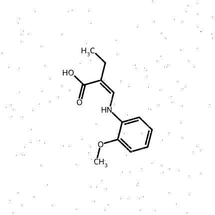 CCC(=CNc1ccccc1OC)C(=O)O